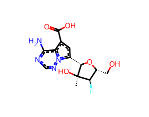 C[C@@]1(O)[C@H](F)[C@@H](CO)O[C@H]1c1cc(C(=O)O)c2c(N)ncnn12